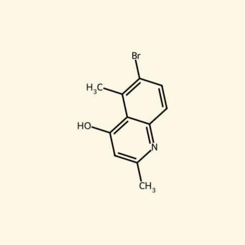 Cc1cc(O)c2c(C)c(Br)ccc2n1